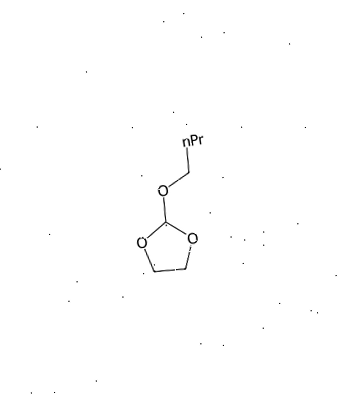 CCCCO[C]1OCCO1